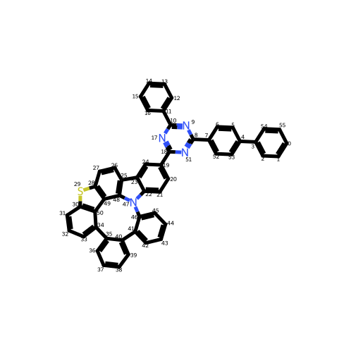 c1ccc(-c2ccc(-c3nc(-c4ccccc4)nc(-c4ccc5c(c4)c4ccc6sc7cccc8c9ccccc9c9ccccc9n5c4c6c78)n3)cc2)cc1